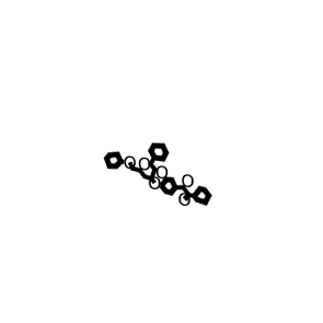 O=C(C(=O)c1ccc(OC(CCCOc2ccccc2)C(=O)C(=O)c2ccccc2)cc1)c1ccccc1